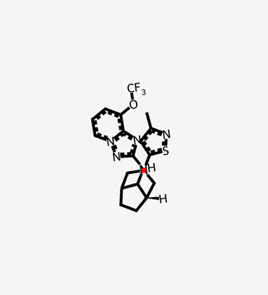 Cc1cc(N2CC3CC[C@@H](C2)C3Nc2nc3c(OC(F)(F)F)cccn3n2)sn1